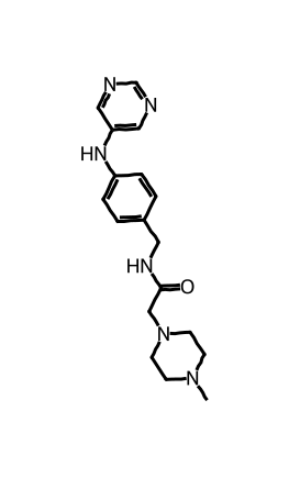 CN1CCN(CC(=O)NCc2ccc(Nc3cncnc3)cc2)CC1